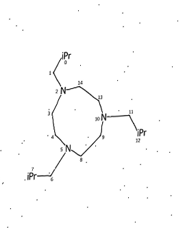 CC(C)CN1CCN(CC(C)C)CCN(CC(C)C)CC1